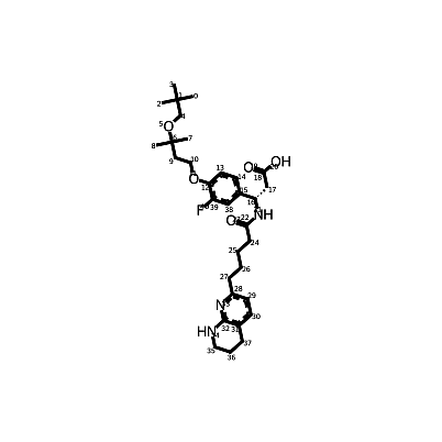 CC(C)(C)COC(C)(C)CCOc1ccc([C@H](CC(=O)O)NC(=O)CCCCc2ccc3c(n2)NCCC3)cc1F